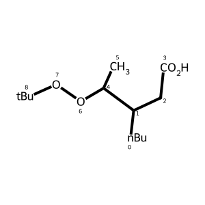 CCCCC(CC(=O)O)C(C)OOC(C)(C)C